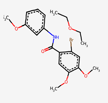 CCOCC.COc1cccc(NC(=O)c2cc(OC)c(OC)cc2Br)c1